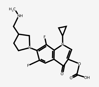 CNCC1CCN(c2c(F)cc3c(=O)c(OC(=O)O)cn(C4CC4)c3c2F)C1